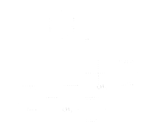 CC(CC(CC(C)(CC=Cc1ccccc1)c1ccccc1)c1ccccc1)c1ccccc1